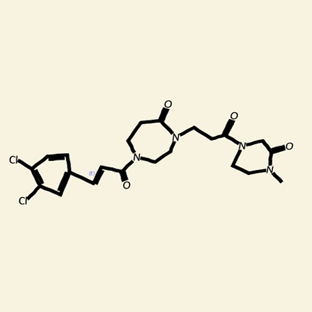 CN1CCN(C(=O)CCN2CCN(C(=O)/C=C/c3ccc(Cl)c(Cl)c3)CCC2=O)CC1=O